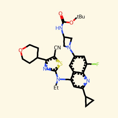 CCN(c1nc(C2CCOCC2)c(C#N)s1)c1cc(C2CC2)nc2c(F)cc(N3CC(NC(=O)OC(C)(C)C)C3)cc12